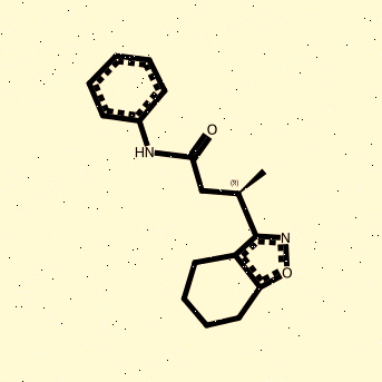 C[C@H](CC(=O)Nc1ccccc1)c1noc2c1CCCC2